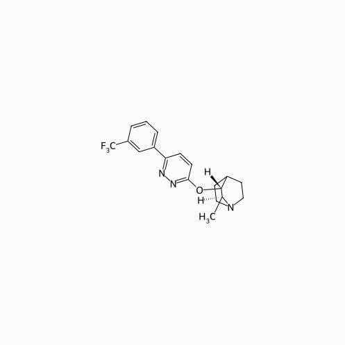 C[C@H]1[C@H](Oc2ccc(-c3cccc(C(F)(F)F)c3)nn2)C2CCN1CC2